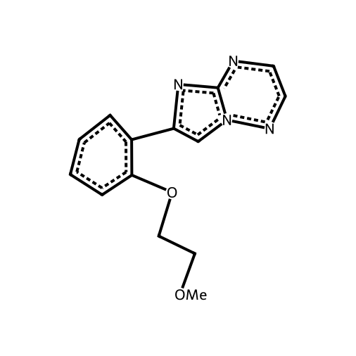 COCCOc1ccccc1-c1cn2nccnc2n1